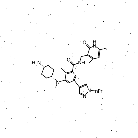 CCCn1cc(-c2cc(C(=O)NCc3c(C)cc(C)[nH]c3=O)c(C)c(N(C)[C@H]3CC[C@@H](N)CC3)c2)cn1